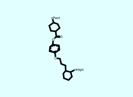 CCCCCCCC1CCCCC1CCCOc1ccc(OC(=O)C2CCC(CCCCC)CC2)cc1